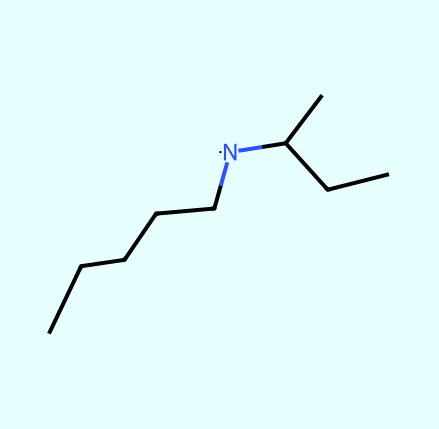 CCCCC[N]C(C)CC